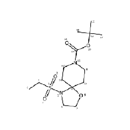 CCS(=O)(=O)N1CCOC12CCN(C(=O)OC(C)(C)C)CC2